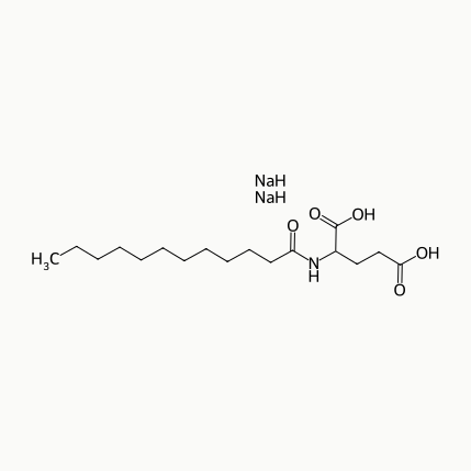 CCCCCCCCCCCC(=O)NC(CCC(=O)O)C(=O)O.[NaH].[NaH]